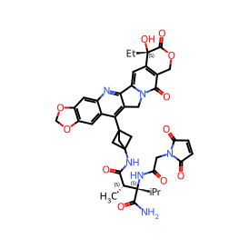 CC[C@@]1(O)C(=O)OCc2c1cc1n(c2=O)Cc2c-1nc1cc3c(cc1c2C12CC(NC(=O)[C@@H](C)[C@](NC(=O)CN4C(=O)C=CC4=O)(C(N)=O)C(C)C)(C1)C2)OCO3